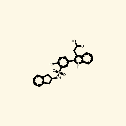 O=C(O)Cc1c(-c2ccc(Cl)c(S(=O)(=O)NC3Cc4ccccc4C3)c2)[nH]c2ccccc12